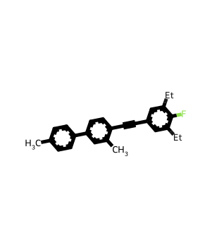 CCc1cc(C#Cc2ccc(-c3ccc(C)cc3)cc2C)cc(CC)c1F